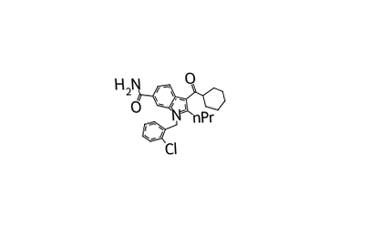 CCCc1c(C(=O)C2CCCCC2)c2ccc(C(N)=O)cc2n1Cc1ccccc1Cl